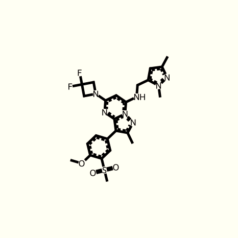 COc1ccc(-c2c(C)nn3c(NCc4cc(C)nn4C)cc(N4CC(F)(F)C4)nc23)cc1S(C)(=O)=O